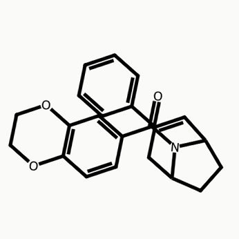 O=C(c1ccc2c(c1)OCCO2)N1C2C=C(c3ccccc3)CC1CC2